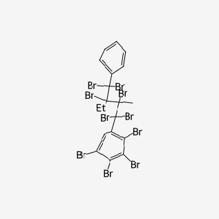 CCC(Br)(C(Br)(Br)c1ccccc1)C(C)(Br)C(Br)(Br)c1cc(Br)c(Br)c(Br)c1Br